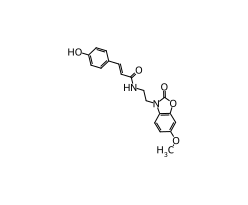 COc1ccc2c(c1)oc(=O)n2CCNC(=O)/C=C/c1ccc(O)cc1